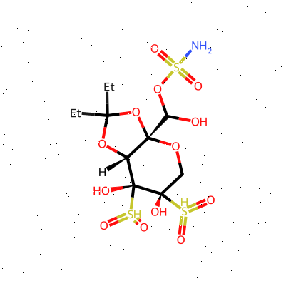 CCC1(CC)O[C@@H]2[C@@](C(O)OS(N)(=O)=O)(OC[C@](O)([SH](=O)=O)[C@]2(O)[SH](=O)=O)O1